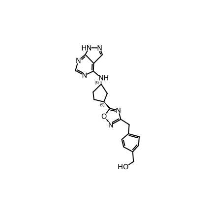 OCc1ccc(Cc2noc([C@H]3CC[C@H](Nc4ncnc5[nH]ncc45)C3)n2)cc1